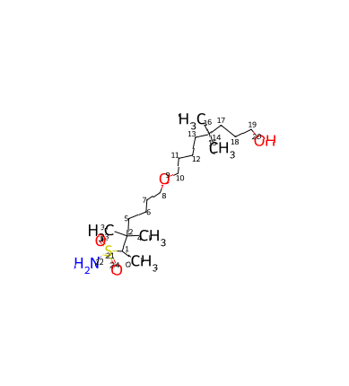 CC(C(C)(C)CCCCOCCCCC(C)(C)CCCO)S(N)(=O)=O